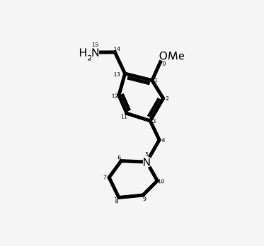 COc1cc(CN2CC[CH]CC2)ccc1CN